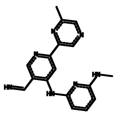 CNc1cccc(Nc2cc(-c3cncc(C)n3)ncc2C=N)n1